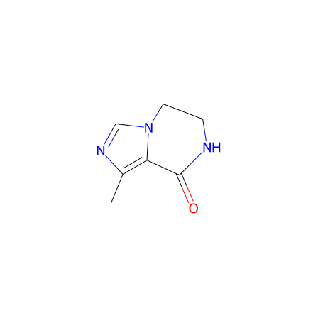 Cc1ncn2c1C(=O)NCC2